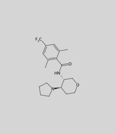 Cc1cc(C(F)(F)F)cc(C)c1C(=O)N[C@@H]1COCC[C@H]1N1CCCC1